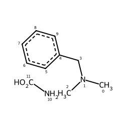 CN(C)Cc1ccccc1.NC(=O)O